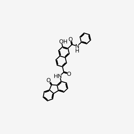 O=C(Nc1cccc2c1C(=O)c1ccccc1-2)c1ccc2cc(O)c(C(=O)Nc3ccccc3)cc2c1